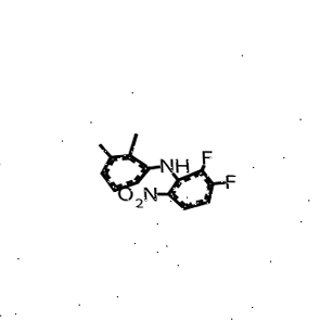 Cc1cccc(Nc2c([N+](=O)[O-])ccc(F)c2F)c1C